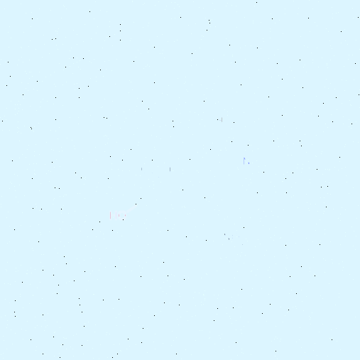 CCOC(=O)/C(O)=C\c1cc(Br)ncc1[N+](=O)[O-]